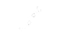 C=CC(=O)Oc1ccc(C(=O)Oc2ccc(OC(=O)C(C)(C)F)cc2)cc1